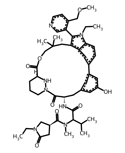 CCN1C[C@@H](C(=O)N(C)C(C(=O)N[C@H]2Cc3cc(O)cc(c3)-c3ccc4c(c3)c(c(-c3cnccc3COC)n4CC)CC(C)(C)COC(=O)[C@@H]3CCCN(N3)C2=O)C(C)C)CC1=O